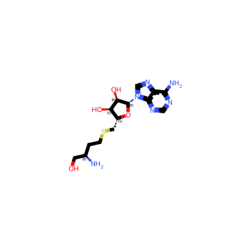 Nc1ncnc2c1ncn2[C@@H]1O[C@H](CSCC[C@@H](N)CO)[C@@H](O)[C@H]1O